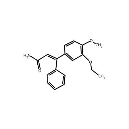 CCOc1cc(C(=CC(N)=O)c2ccccc2)ccc1OC